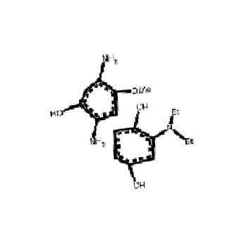 CCN(CC)c1cc(O)ccc1O.COc1cc(N)c(O)cc1N